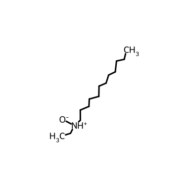 CCCCCCCCCCCC[NH+]([O-])CC